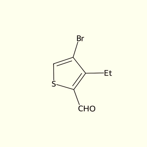 CCc1c(Br)csc1C=O